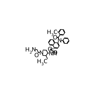 CCC1CN(C(=O)CN)CCC1NS(=O)(=O)c1ccc(N(C(=O)c2ccccc2C)c2ccccc2)c2ccccc12